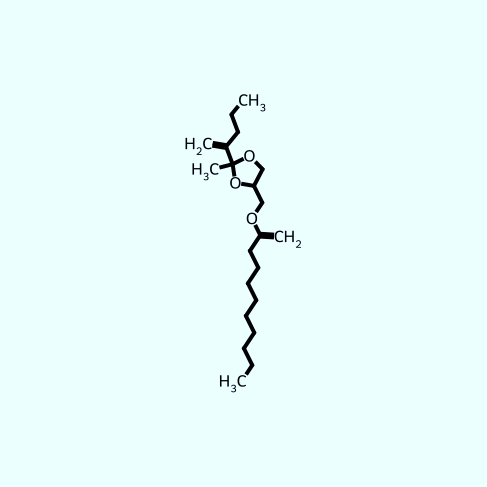 C=C(CCCCCCCCC)OCC1COC(C)(C(=C)CCC)O1